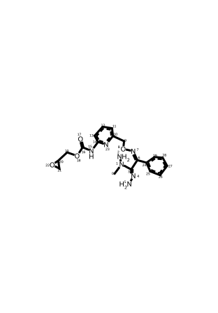 CN(N)C(=N\N)/C(=N\OCc1cccc(NC(=O)OCC2CO2)n1)c1ccccc1